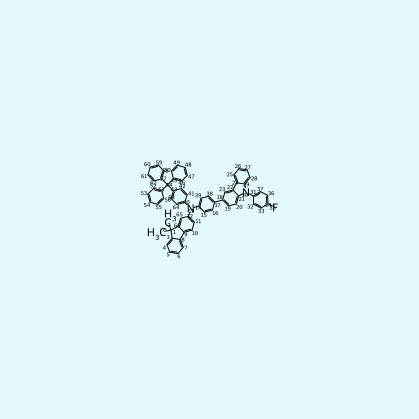 CC1(C)c2ccccc2-c2ccc(N(c3ccc(-c4ccc5c(c4)c4ccccc4n5-c4ccc(F)cc4)cc3)c3ccc(C(c4ccccc4)(c4ccccc4)c4ccccc4)cc3)cc21